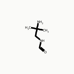 CC(C)(N)CNC=O